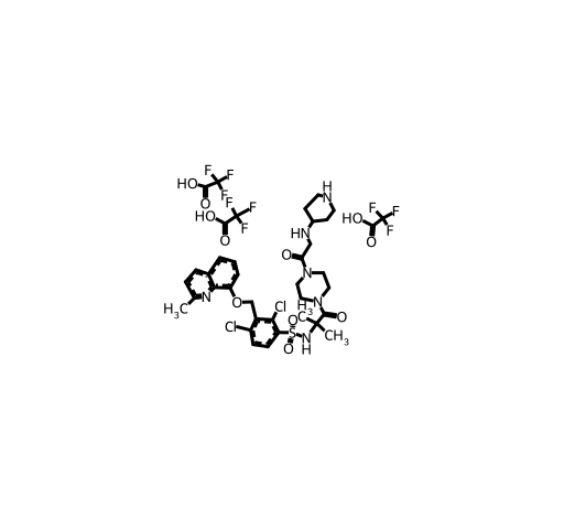 Cc1ccc2cccc(OCc3c(Cl)ccc(S(=O)(=O)NC(C)(C)C(=O)N4CCN(C(=O)CNC5CCNCC5)CC4)c3Cl)c2n1.O=C(O)C(F)(F)F.O=C(O)C(F)(F)F.O=C(O)C(F)(F)F